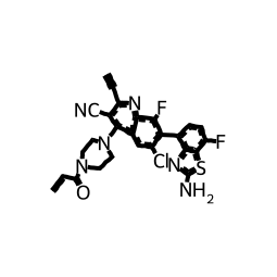 C#Cc1nc2c(F)c(-c3ccc(F)c4sc(N)nc34)c(Cl)cc2c(N2CCN(C(=O)C=C)CC2)c1C#N